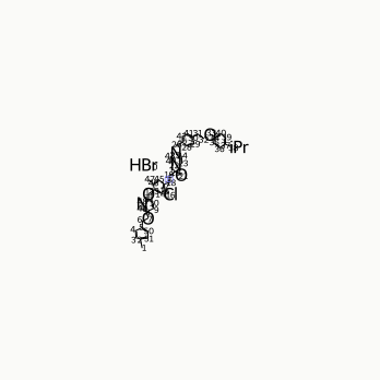 Br.Cc1ccc(COc2ccc(Oc3cc(Cl)c(/C=C/C(=O)N4CCN(Cc5ccc(CCOc6ccc(C(C)C)cc6)cc5)CC4)cc3C)nc2)cc1